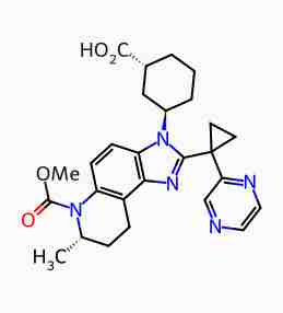 COC(=O)N1c2ccc3c(nc(C4(c5cnccn5)CC4)n3[C@@H]3CCC[C@@H](C(=O)O)C3)c2CC[C@@H]1C